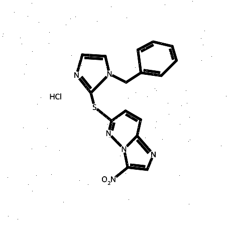 Cl.O=[N+]([O-])c1cnc2ccc(Sc3nccn3Cc3ccccc3)nn12